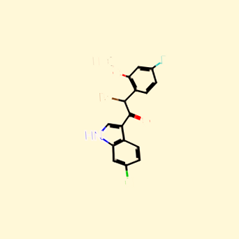 COc1cc(F)ccc1C(Br)C(=O)c1c[nH]c2cc(Cl)ccc12